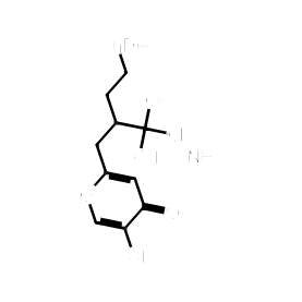 CCCCCCCCCCCCC(Cc1cc(=O)c(O)co1)C(C)(C)Cl.N